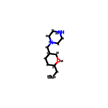 CC(C)(C)CC1CCC(CN2CCNCC2)CO1